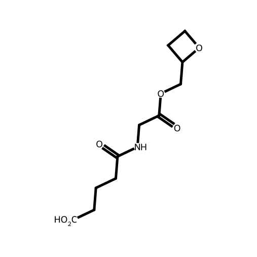 O=C(O)CCCC(=O)NCC(=O)OCC1CCO1